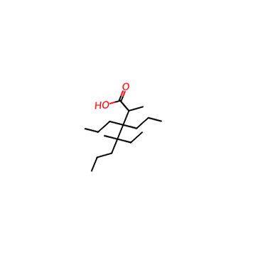 CCCC(C)(CC)C(CCC)(CCC)C(C)C(=O)O